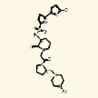 CC(=O)N1CCN(C[C@@H]2CCCN2C(=O)CN2CCC[C@H](NS(=O)(=O)c3ccc(-c4ccc(Cl)s4)s3)C2=O)CC1